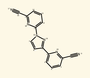 N#Cc1cccc(-c2ccn(-c3cccc(C#N)n3)n2)n1